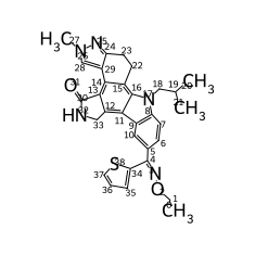 CCON=C(c1ccc2c(c1)c1c3c(c4c(c1n2CC(C)C)CCc1nn(C)cc1-4)C(=O)NC3)c1cccs1